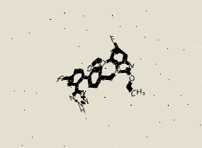 CCOc1nc2cc(F)cc(OC=O)c2n1Cc1ccc(-c2ccc(F)cc2-c2nn[nH]n2)cc1